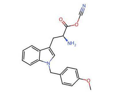 COc1ccc(Cn2cc(C[C@H](N)C(=O)OC#N)c3ccccc32)cc1